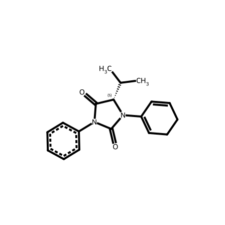 CC(C)[C@H]1C(=O)N(c2ccccc2)C(=O)N1C1=CCCC=C1